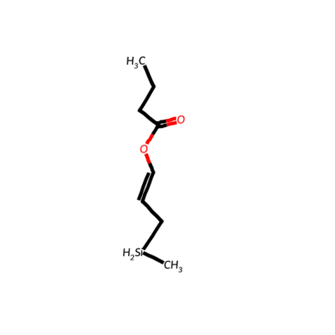 CCCC(=O)OC=CC[SiH2]C